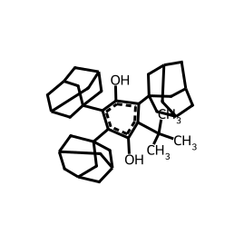 CC(C)(C)c1c(O)c(C23CC4CC(CC(C4)C2)C3)c(C23CC4CC(CC(C4)C2)C3)c(O)c1C12CC3CC(CC(C3)C1)C2